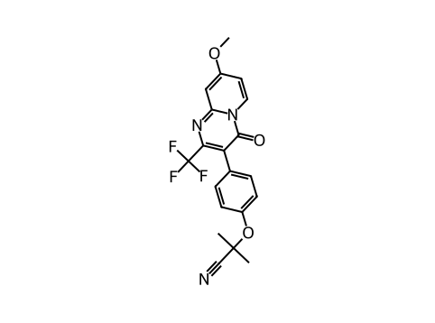 COc1ccn2c(=O)c(-c3ccc(OC(C)(C)C#N)cc3)c(C(F)(F)F)nc2c1